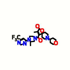 CC1=C(C(=O)N2CCN(c3cc(C(F)(F)F)ncn3)C(C)C2)C2(CCN(C3CCOCC3)CC2)OC1=O